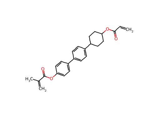 C=CC(=O)OC1CCC(c2ccc(-c3ccc(OC(=O)C(=C)C)cc3)cc2)CC1